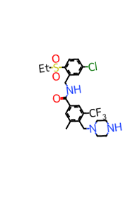 CCS(=O)(=O)c1ccc(Cl)cc1CNC(=O)c1cc(C)c(CN2CCNCC2)c(C(F)(F)F)c1